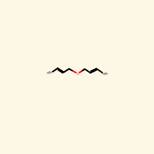 CCCC=CCOCC=CCCC